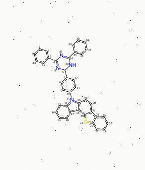 c1ccc(C2=NC(c3ccc(-n4c5ccccc5c5c6sc7ccccc7c6ccc54)cc3)NC(c3ccccc3)=N2)cc1